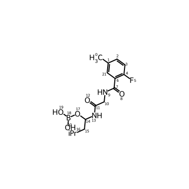 Cc1ccc(F)c(C(=O)NCC(=O)NC(CC(C)C)OB(O)O)c1